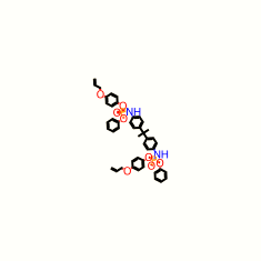 C=CCOc1ccc(OP(=O)(Nc2ccc(C(C)(C)c3ccc(NP(=O)(Oc4ccccc4)Oc4ccc(OCC=C)cc4)cc3)cc2)Oc2ccccc2)cc1